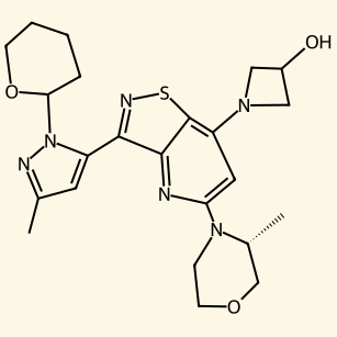 Cc1cc(-c2nsc3c(N4CC(O)C4)cc(N4CCOC[C@H]4C)nc23)n(C2CCCCO2)n1